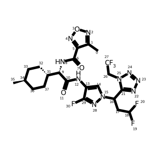 Cc1nonc1C(=O)N[C@H](C(=O)Nc1cn(C(CC(F)F)c2nnnn2CC(F)(F)F)nc1F)[C@H]1CC[C@H](C)CC1